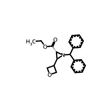 CCOC(=O)[C@H]1C(C2COC2)N1C(c1ccccc1)c1ccccc1